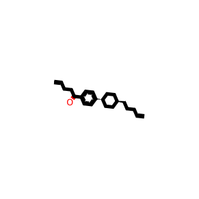 C=CCCC[C@H]1CC[C@H](c2ccc(C(=O)CCC=C)cc2)CC1